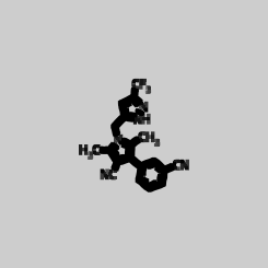 Cc1c(C#N)c(-c2cccc(C#N)c2)c(C)n1Cc1cc(C(F)(F)F)n[nH]1